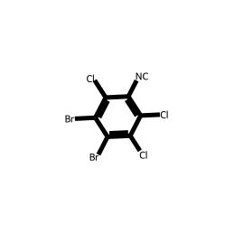 [C-]#[N+]c1c(Cl)c(Cl)c(Br)c(Br)c1Cl